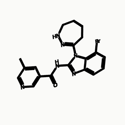 Cc1cncc(C(=O)Nc2nc3cccc(Br)c3n2C2=NNCCCC2)c1